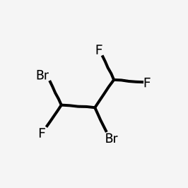 FC(F)C(Br)C(F)Br